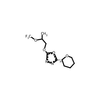 CC(COc1nnc([C@H]2CCCCO2)o1)OC(F)(F)F